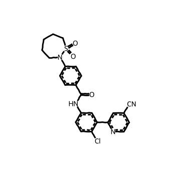 N#Cc1ccnc(-c2cc(NC(=O)c3ccc(N4CCCCCS4(=O)=O)cc3)ccc2Cl)c1